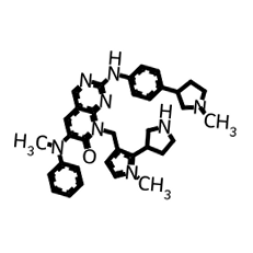 CN1CCC(c2ccc(Nc3ncc4cc(N(C)c5ccccc5)c(=O)n(Cc5ccn(C)c5C5CCNC5)c4n3)cc2)C1